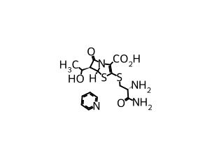 CC(O)[C@H]1C(=O)N2C(C(=O)O)=C(SC[C@H](N)C(N)=O)S[C@H]12.c1ccncc1